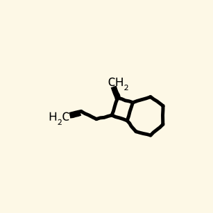 C=CCC1C(=C)C2CCCCCC12